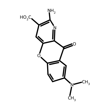 CN(C)c1ccc2oc3cc(C(=O)O)c(N)nc3c(=O)c2c1